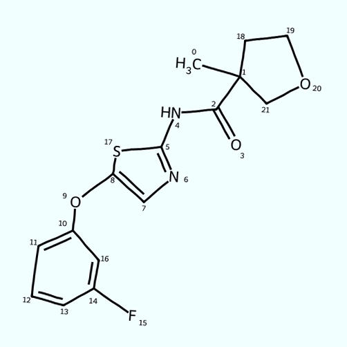 CC1(C(=O)Nc2ncc(Oc3cccc(F)c3)s2)CCOC1